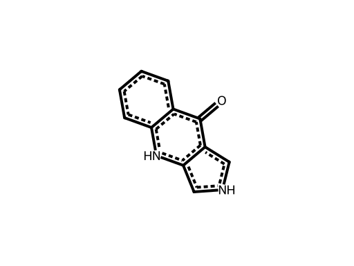 O=c1c2ccccc2[nH]c2c[nH]cc12